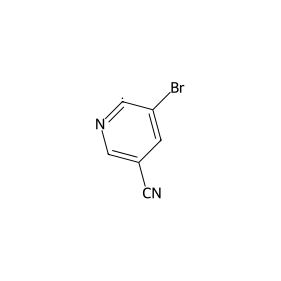 N#Cc1cn[c]c(Br)c1